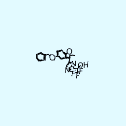 Cc1oc2ccc(OCc3ccccc3)cc2c1-c1cncc(C(O)C(F)(F)F)n1